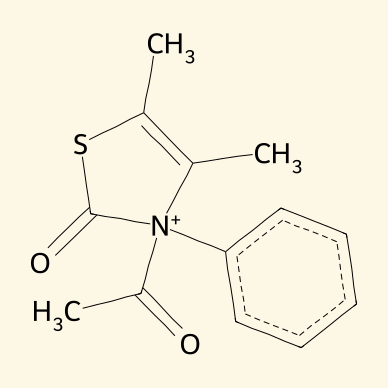 CC(=O)[N+]1(c2ccccc2)C(=O)SC(C)=C1C